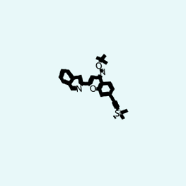 CC(C)(C)ON=c1cc(-c2cc3ccccc3cn2)oc2cc(C#C[Si](C)(C)C)ccc12